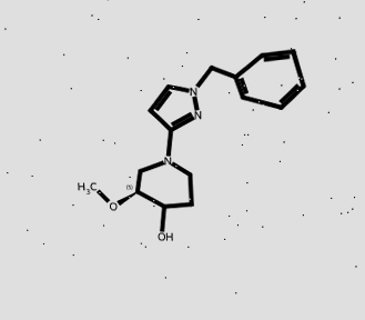 CO[C@H]1CN(c2ccn(Cc3ccccc3)n2)CCC1O